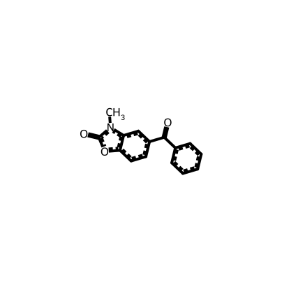 Cn1c(=O)oc2ccc(C(=O)c3ccccc3)cc21